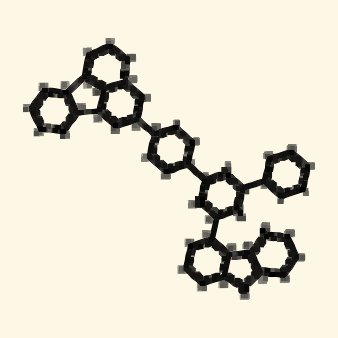 c1ccc(-c2nc(-c3ccc(-c4cc5c6c(cccc6c4)-c4ccccc4-5)cc3)nc(-c3cccc4oc5cccnc5c34)n2)cc1